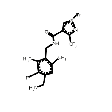 Cc1cc(CN)c(F)c(C)c1CNC(=O)c1cn(C(C)C)nc1C(F)(F)F